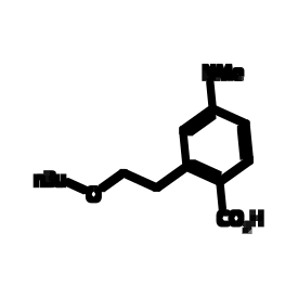 CCCCOCCc1cc(NC)ccc1C(=O)O